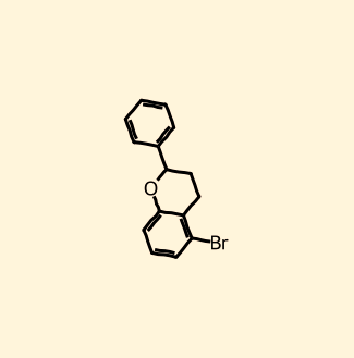 Brc1cccc2c1CCC(c1ccccc1)O2